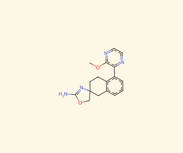 COc1nccnc1-c1cccc2c1CCC1(COC(N)=N1)C2